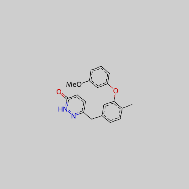 COc1cccc(Oc2cc(Cc3ccc(=O)[nH]n3)ccc2C)c1